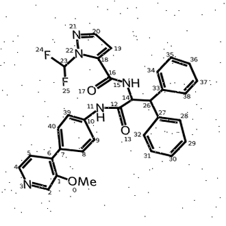 COc1cnccc1-c1ccc(NC(=O)C(NC(=O)c2ccnn2C(F)F)C(c2ccccc2)c2ccccc2)cc1